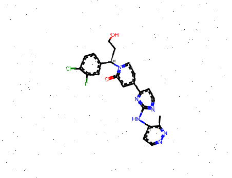 Cc1nnccc1Nc1nccc(-c2ccn([C@H](CCO)c3ccc(Cl)c(F)c3)c(=O)c2)n1